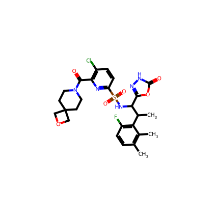 Cc1ccc(F)c(C(C)C(NS(=O)(=O)c2ccc(Cl)c(C(=O)N3CCC4(CC3)COC4)n2)c2n[nH]c(=O)o2)c1C